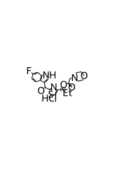 CC[C@H](OC(=O)CN1CCOCC1)c1csc(C(=O)c2c[nH]c3cc(F)ccc23)n1.Cl